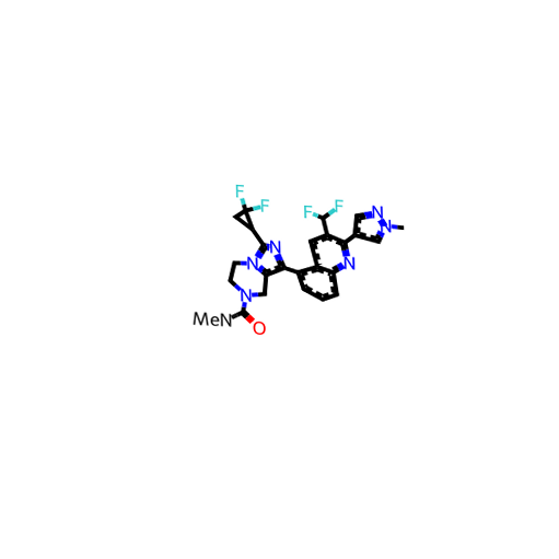 CNC(=O)N1CCn2c(C3CC3(F)F)nc(-c3cccc4nc(-c5cnn(C)c5)c(C(F)F)cc34)c2C1